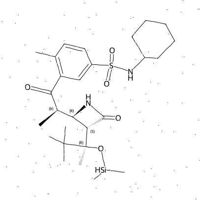 Cc1ccc(S(=O)(=O)NC2CCCCC2)cc1C(=O)[C@H](C)[C@H]1NC(=O)[C@@H]1[C@@](C)(O[SiH](C)C)C(C)(C)C